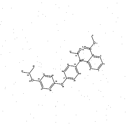 COC(=O)c1ccccc1N(C(C)=O)c1ccc(Oc2ccc(OC(C)C)cc2)cc1